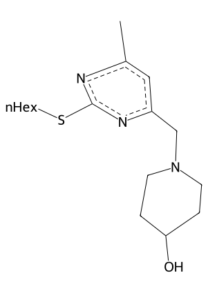 CCCCCCSc1nc(C)cc(CN2CCC(O)CC2)n1